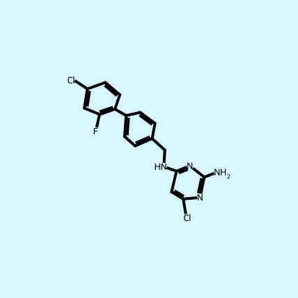 Nc1nc(Cl)cc(NCc2ccc(-c3ccc(Cl)cc3F)cc2)n1